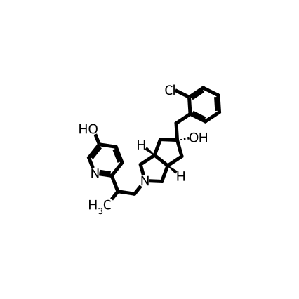 CC(CN1C[C@@H]2C[C@@](O)(Cc3ccccc3Cl)C[C@@H]2C1)c1ccc(O)cn1